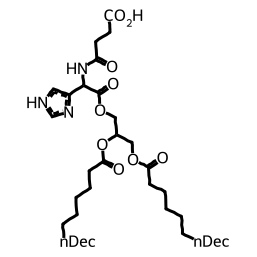 CCCCCCCCCCCCCCCC(=O)OCC(COC(=O)C(NC(=O)CCC(=O)O)c1c[nH]cn1)OC(=O)CCCCCCCCCCCCCCC